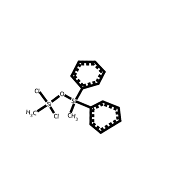 C[Si](Cl)(Cl)O[Si](C)(c1ccccc1)c1ccccc1